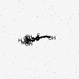 CC(CCN1CC=C(c2ccc(C#CC#CCCCO)c(F)c2)CC1)(C(=O)NO)S(C)(=O)=O